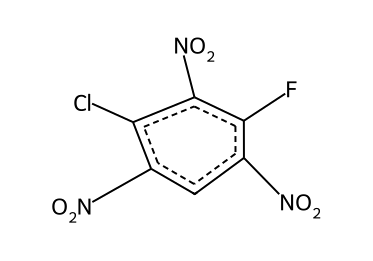 O=[N+]([O-])c1cc([N+](=O)[O-])c(Cl)c([N+](=O)[O-])c1F